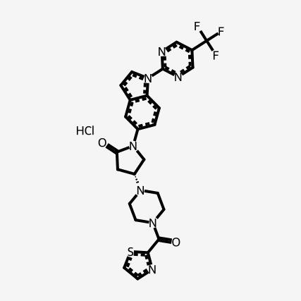 Cl.O=C(c1nccs1)N1CCN([C@@H]2CC(=O)N(c3ccc4c(ccn4-c4ncc(C(F)(F)F)cn4)c3)C2)CC1